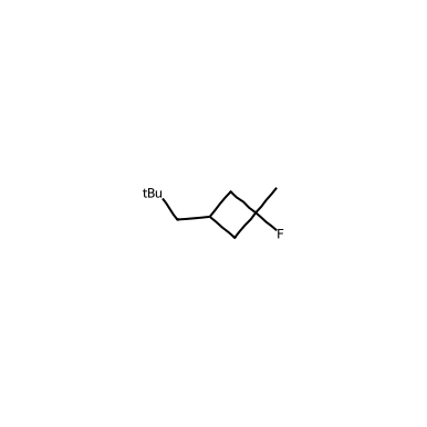 CC(C)(C)CC1CC(C)(F)C1